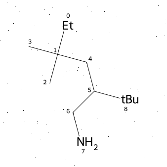 CCC(C)(C)CC(CN)C(C)(C)C